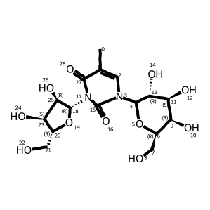 Cc1cn(C2O[C@H](CO)[C@H](O)[C@H](O)[C@H]2O)c(=O)n([C@@H]2O[C@H](CO)[C@@H](O)[C@H]2O)c1=O